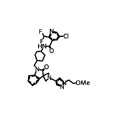 COCCn1cc(N2CC3(C2)C(=O)N(CC2CCC(NC(=O)c4cc(Cl)cnc4C(F)F)CC2)c2ccccc23)cn1